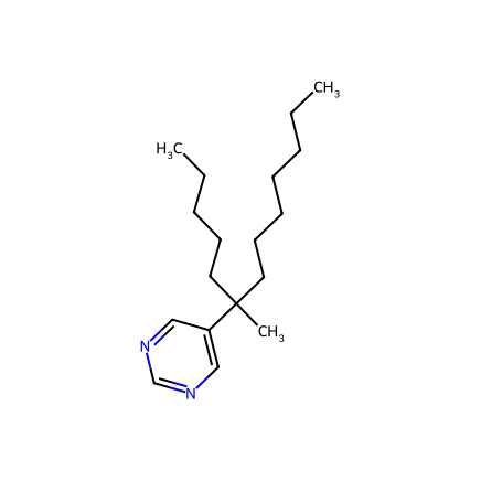 CCCCCCCC(C)(CCCCC)c1cncnc1